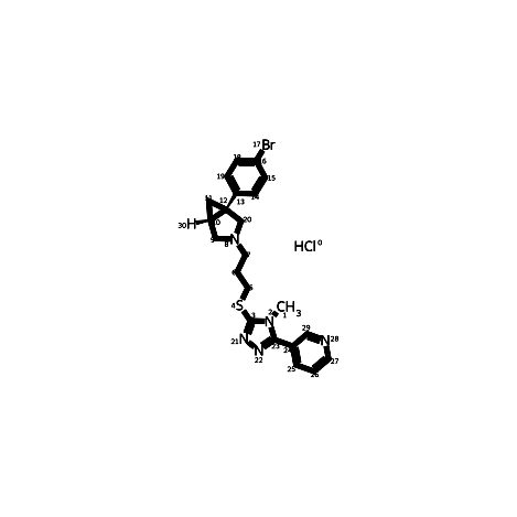 Cl.Cn1c(SCCCN2C[C@@H]3C[C@]3(c3ccc(Br)cc3)C2)nnc1-c1cccnc1